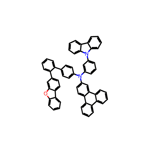 c1cc(N(c2ccc(-c3ccccc3-c3ccc4c(c3)oc3ccccc34)cc2)c2ccc3c4ccccc4c4ccccc4c3c2)cc(-n2c3ccccc3c3ccccc32)c1